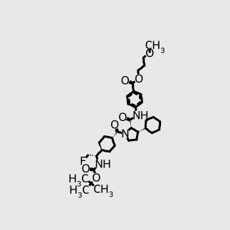 COCCCOC(=O)c1ccc(NC(=O)[C@@H]2[C@H](C3CCCCC3)CCN2C(=O)[C@H]2CC[C@H]([C@@H](CF)NC(=O)OC(C)(C)C)CC2)cc1